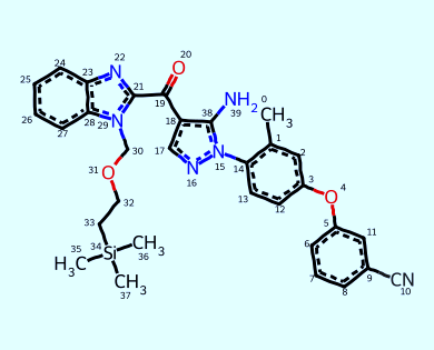 Cc1cc(Oc2cccc(C#N)c2)ccc1-n1ncc(C(=O)c2nc3ccccc3n2COCC[Si](C)(C)C)c1N